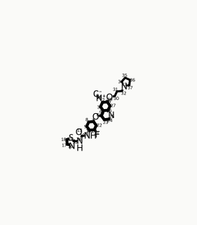 [C-]#[N+]c1cc2c(Oc3ccc(NC(=O)Nc4nccs4)c(F)c3)ccnc2cc1OCCCN1CCCC1